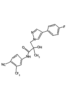 CC(O)(Cn1cc(-c2ccc(F)cc2)cn1)C(=O)Nc1ccc(C#N)c(C(F)(F)F)c1